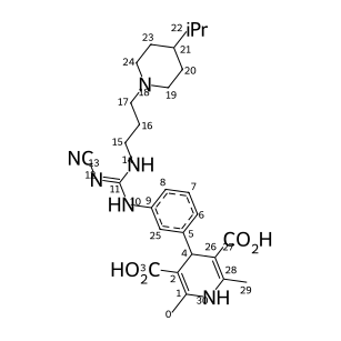 CC1=C(C(=O)O)C(c2cccc(N/C(=N/C#N)NCCCN3CCC(C(C)C)CC3)c2)C(C(=O)O)=C(C)N1